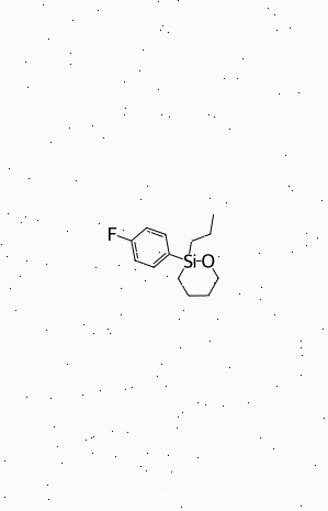 CCC[Si]1(c2ccc(F)cc2)CCCCO1